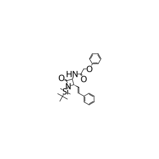 CC(C)(C)[Si](C)(C)N1C(=O)[C@@H](NC(=O)COc2ccccc2)[C@H]1C=Cc1ccccc1